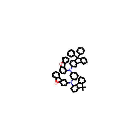 CC1(C)c2ccccc2-c2c(N(c3cccc(N(c4ccc5c(c4)-c4ccccc4C5(c4ccccc4)c4ccccc4)c4cccc5oc6ccccc6c45)c3)c3ccc4oc5ccccc5c4c3)cccc21